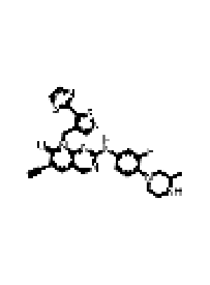 C#Cc1cc2cnc(Nc3ccc(N4CCNC(C)C4)c(F)c3)nc2n(Cc2cnsc2-c2nccs2)c1=O